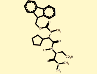 CCN(C(=O)[C@H](C1CCCC1)N(C)C(=O)OCC1c2ccccc2-c2ccccc21)[C@@H](CC(=O)O)C(=O)N(C)C